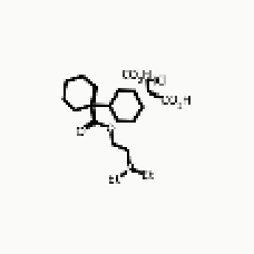 CCN(CC)CCOC(=O)C1(C2CCCCC2)CCCCC1.Cl.O=C(O)CC(=O)O